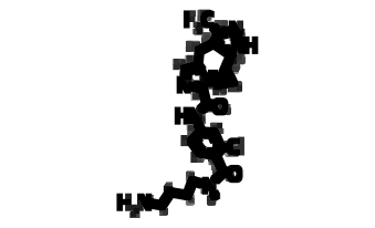 CN(CCCCN)C(=O)c1ccc(NC(=O)c2ncc(Cc3c(C(F)(F)F)n[nH]c3C3CC3)[nH]2)cc1Cl